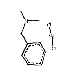 CN(C)Cc1ccccc1.[Cl][Pd][Cl]